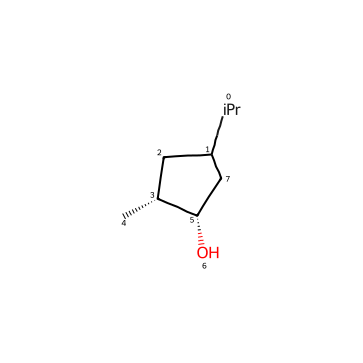 CC(C)C1C[C@@H](C)[C@@H](O)C1